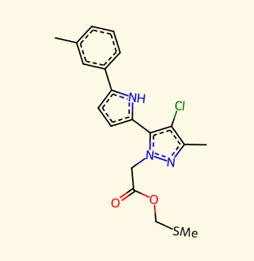 CSCOC(=O)Cn1nc(C)c(Cl)c1-c1ccc(-c2cccc(C)c2)[nH]1